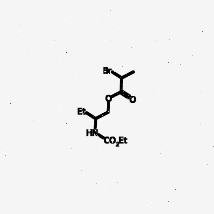 CCOC(=O)NC(CC)COC(=O)C(C)Br